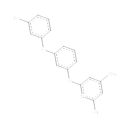 CC(C)(C)c1cc(Cl)nc(Oc2cccc(Oc3cccc(Br)c3)c2)c1